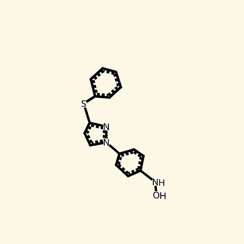 ONc1ccc(-n2ccc(Sc3ccccc3)n2)cc1